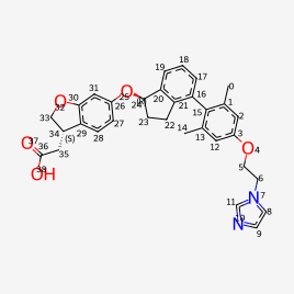 Cc1cc(OCCn2ccnc2)cc(C)c1-c1cccc2c1CC[C@H]2Oc1ccc2c(c1)OC[C@H]2CC(=O)O